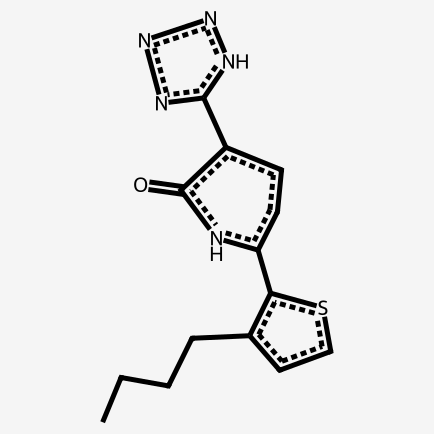 CCCCc1ccsc1-c1ccc(-c2nnn[nH]2)c(=O)[nH]1